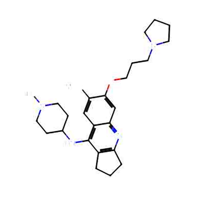 COc1cc2c(NC3CCN(C(C)C)CC3)c3c(nc2cc1OCCCN1CCCC1)CCC3